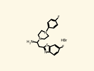 Br.NC(Cc1nc2ccc(F)cc2s1)N1CCN(c2ccc(F)cc2)CC1